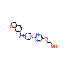 CC(c1ccc2c(c1)OCC2)N1CCN(c2ncc(OCCO)cn2)CC1